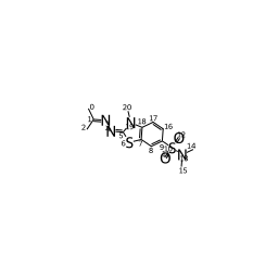 CC(C)=NN=c1sc2cc(S(=O)(=O)N(C)C)ccc2n1C